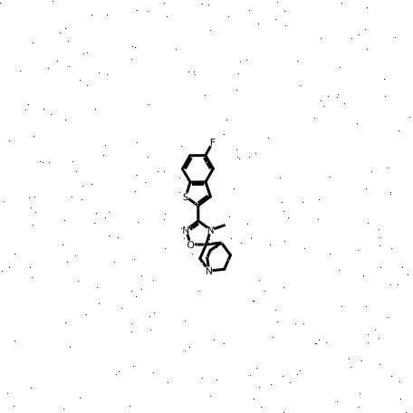 CN1C(c2cc3cc(F)ccc3s2)=NOC12CN1CCC2CC1